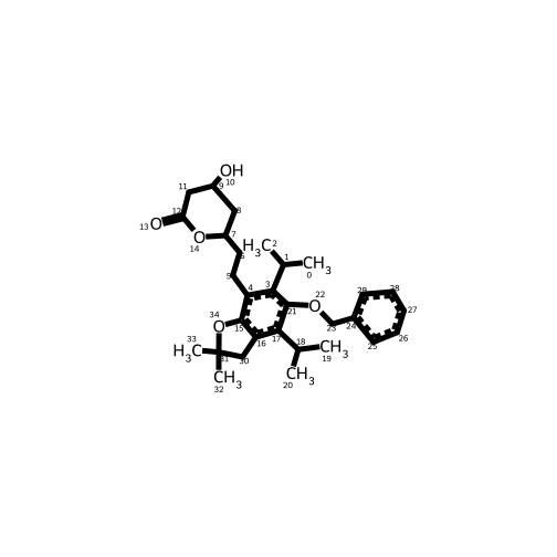 CC(C)c1c(CCC2CC(O)CC(=O)O2)c2c(c(C(C)C)c1OCc1ccccc1)CC(C)(C)O2